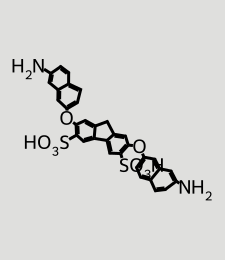 Nc1ccc2ccc(Oc3cc4c(cc3S(=O)(=O)O)-c3cc(S(=O)(=O)O)c(Oc5ccc6ccc(N)cc6c5)cc3C4)cc2c1